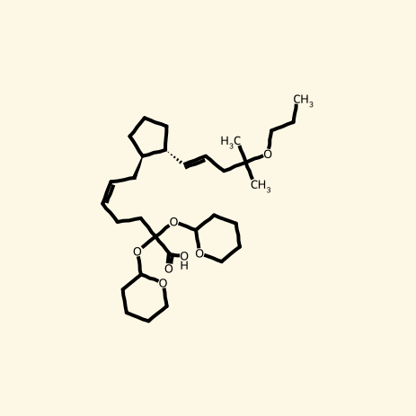 CCCOC(C)(C)C/C=C/[C@H]1CCC[C@@H]1C/C=C\CCC(OC1CCCCO1)(OC1CCCCO1)C(=O)O